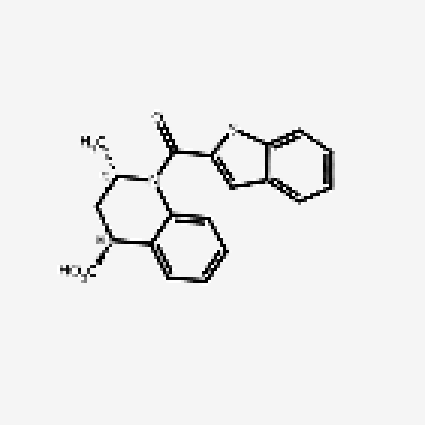 C[C@H]1C[C@H](C(=O)O)c2ccccc2N1C(=O)c1cc2ccccc2s1